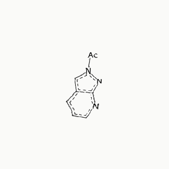 CC(=O)n1cc2cccnc2n1